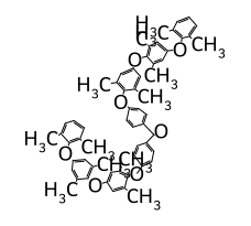 Cc1cccc(C)c1Oc1cc(C)c(Oc2cc(C)c(Oc3ccc(C(=O)c4ccc(Oc5c(C)cc(Oc6c(C)cc(Oc7c(C)cccc7C)cc6C)cc5C)cc4)cc3)c(C)c2)c(C)c1